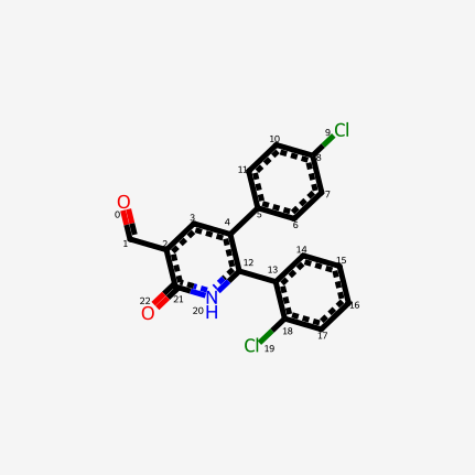 O=Cc1cc(-c2ccc(Cl)cc2)c(-c2ccccc2Cl)[nH]c1=O